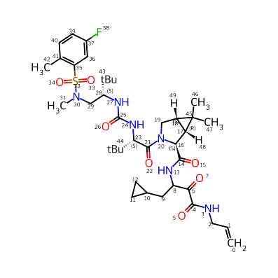 C=CCNC(=O)C(=O)C(CC1CC1)NC(=O)[C@@H]1[C@@H]2[C@H](CN1C(=O)[C@@H](NC(=O)N[C@H](CN(C)S(=O)(=O)c1cc(F)ccc1C)C(C)(C)C)C(C)(C)C)C2(C)C